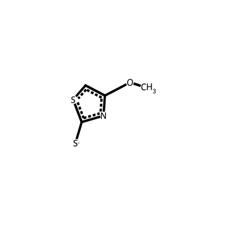 COc1csc([S])n1